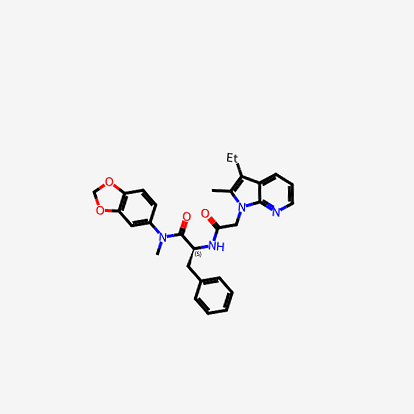 CCc1c(C)n(CC(=O)N[C@@H](Cc2ccccc2)C(=O)N(C)c2ccc3c(c2)OCO3)c2ncccc12